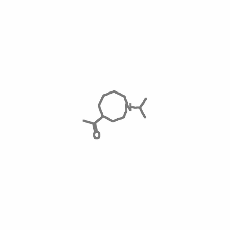 CC(=O)C1CCCCN(C(C)C)CC1